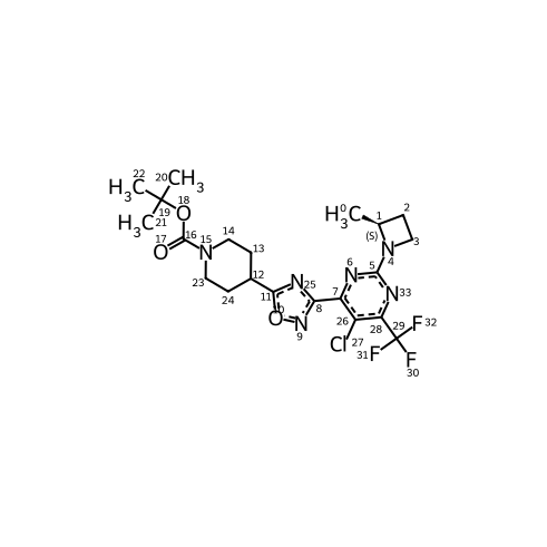 C[C@H]1CCN1c1nc(-c2noc(C3CCN(C(=O)OC(C)(C)C)CC3)n2)c(Cl)c(C(F)(F)F)n1